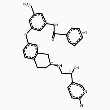 Cl.O=C(O)c1cc(NC(=O)c2ccccc2)cc(Oc2ccc3c(c2)C[C@@H](NC[C@@H](O)c2ccc(Cl)nc2)CC3)c1